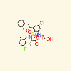 Cc1ccc(F)c(C(C)C(NS(=O)(=O)c2c(NCCO)cc(Cl)cc2C(C)OCc2ccccc2)C(=O)O)c1C